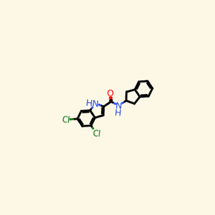 O=C(NC1Cc2ccccc2C1)c1cc2c(Cl)cc(Cl)cc2[nH]1